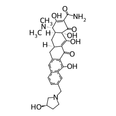 CN(C)[C@@H]1C(O)=C(C(N)=O)C(=O)[C@@]2(O)C(O)=C3C(=O)c4c(cc5ccc(CN6CC[C@@H](O)C6)cc5c4O)C[C@H]3C[C@@H]12